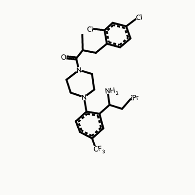 CC(C)CC(N)c1cc(C(F)(F)F)ccc1N1CCN(C(=O)C(C)Cc2ccc(Cl)cc2Cl)CC1